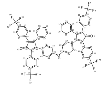 O=C1C(c2ccc(C(F)(F)F)cc2)=C(C2=CC=CCC2)C(c2ccc(Oc3ccc(C4=C(c5ccc(C(F)(F)F)cc5)C(=O)C(c5ccc(C(F)(F)F)cc5)=C4c4ccccc4)cc3)cc2)=C1c1ccc(C(F)(F)F)cc1